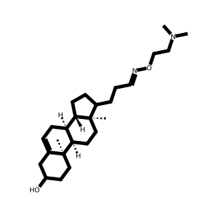 CN(C)CCON=CCCC1CC[C@H]2[C@@H]3CC=C4CC(O)CC[C@]4(C)[C@@H]3CC[C@]12C